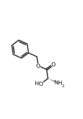 N[C@H](O)C(=O)OCc1ccccc1